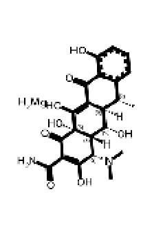 C[C@H]1c2cccc(O)c2C(=O)C2=C(O)[C@]3(O)C(=O)C(C(N)=O)=C(O)[C@@H](N(C)C)[C@H]3[C@@H](O)[C@@H]21.[MgH2]